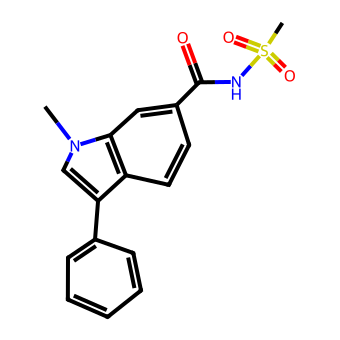 Cn1cc(-c2ccccc2)c2ccc(C(=O)NS(C)(=O)=O)cc21